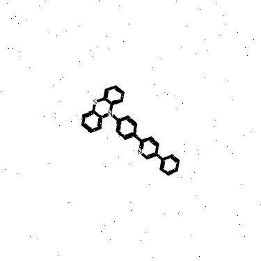 c1ccc(-c2ccc(-c3ccc(N4c5ccccc5Sc5ccccc54)cc3)nc2)cc1